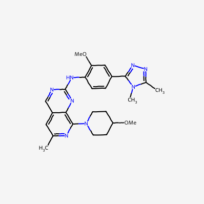 COc1cc(-c2nnc(C)n2C)ccc1Nc1ncc2cc(C)nc(N3CCC(OC)CC3)c2n1